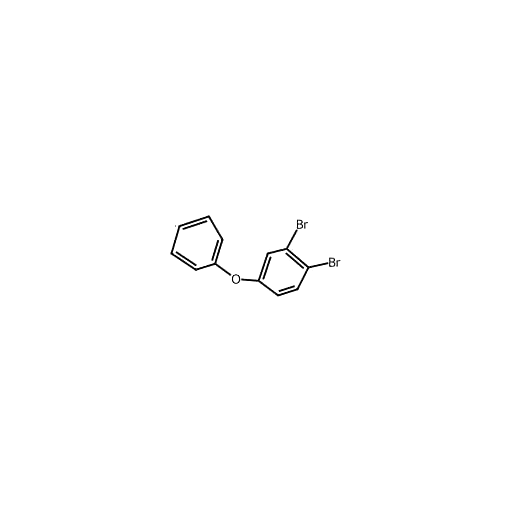 Brc1ccc(Oc2cc[c]cc2)cc1Br